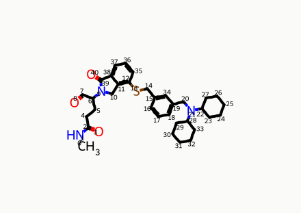 CNC(=O)CCC(C=O)N1Cc2c(SCc3cccc(CN(C4CCCCC4)C4CCCCC4)c3)cccc2C1=O